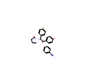 COc1ccc([C@@H](Oc2ccc(C#N)cc2)[C@H](c2ccc(F)cc2)N2CCCC2=O)cc1